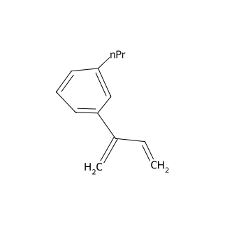 C=CC(=C)c1cccc(CCC)c1